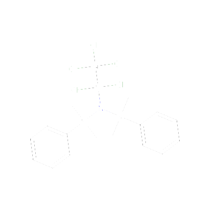 C[Si](C)(c1ccccc1)N([Si](C)(C)c1ccccc1)[Si](Cl)(Cl)[Si](Cl)(Cl)Cl